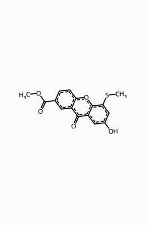 COC(=O)c1ccc2oc3c(SC)cc(O)cc3c(=O)c2c1